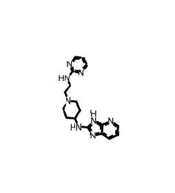 c1cnc(NCCN2CCC(Nc3nc4cccnc4[nH]3)CC2)nc1